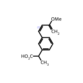 C=C(/C=C\c1cccc(C(C)C(=O)O)c1)OC